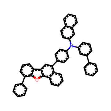 c1ccc(-c2cccc(N(c3ccc(-c4cc5c6cccc(-c7ccccc7)c6oc5c5ccccc45)cc3)c3ccc4ccccc4c3)c2)cc1